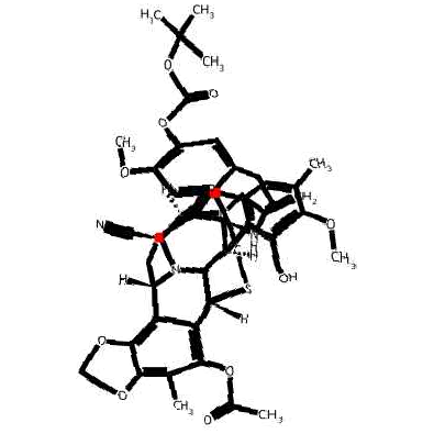 C=CCN1[C@@H]2Cc3cc(C)c(OC)c(O)c3[C@H]1C1[C@@H]3SC[C@]4(NCCc5cc(OC(=O)OC(C)(C)C)c(OC)cc54)C(=O)OC[C@@H](c4c5c(c(C)c(OC(C)=O)c43)OCO5)N1[C@H]2C#N